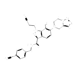 N#CCCn1nc(C(=O)NCc2ccc(C#N)cc2)c2ccc(N3CCn4nncc4C3)c(Cl)c21